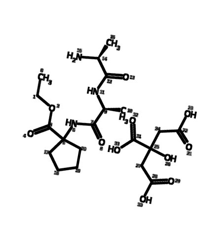 CCOC(=O)C1(NC(=O)[C@H](C)NC(=O)[C@H](C)N)CCCC1.O=C(O)CC(O)(CC(=O)O)C(=O)O